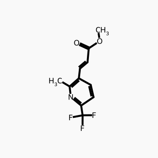 COC(=O)C=Cc1ccc(C(F)(F)F)nc1C